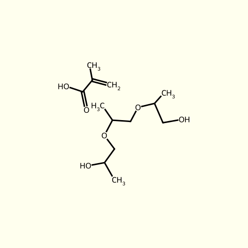 C=C(C)C(=O)O.CC(O)COC(C)COC(C)CO